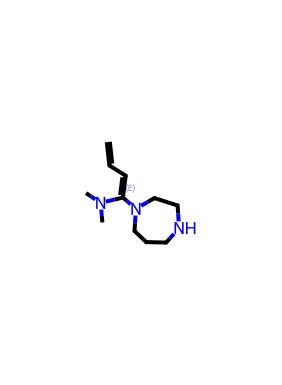 C=C/C=C(\N(C)C)N1CCCNCC1